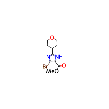 COC(=O)c1[nH]c(C2CCOCC2)nc1Br